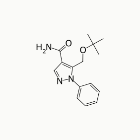 CC(C)(C)OCc1c(C(N)=O)cnn1-c1ccccc1